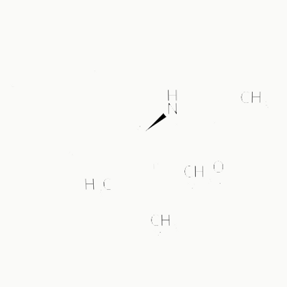 CC(=O)N[C@H](c1ccccc1)C(C)(C)C